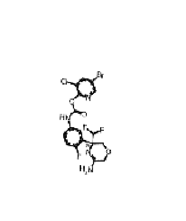 NC1=N[C@@](c2cc(NC(=O)Oc3ncc(Br)cc3Cl)ccc2F)(C(F)F)COC1